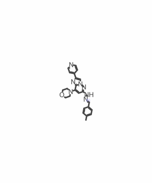 Cc1ccc(/C=N/Nc2cc(N3CCOCC3)c3nc(-c4ccncc4)cn3n2)cc1